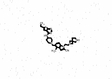 Cc1c(CN2CCC(Nc3ncnc4sc(CC(F)(F)F)cc34)CC2)ccc2c1cc(C#N)n2CCN1CC2(CCNC2)C1